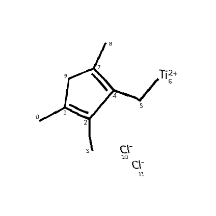 CC1=C(C)C([CH2][Ti+2])=C(C)C1.[Cl-].[Cl-]